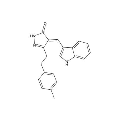 Cc1ccc(CCC2=NNC(=O)C2=Cc2c[nH]c3ccccc23)cc1